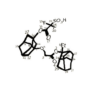 CCC1(OC(=O)COC23CC4CC(C2)CC(OC(=O)C(F)(F)S(=O)(=O)O)(C4)C3)C2CC3CC(C2)CC1C3